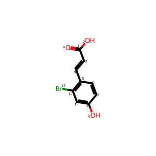 O=C(O)C=Cc1ccc(O)cc1Br